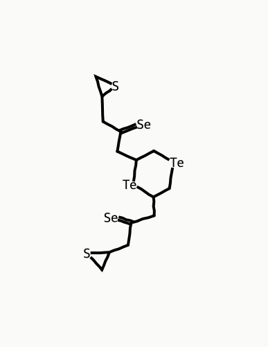 [Se]=C(CC1CS1)CC1C[Te]CC(CC(=[Se])CC2CS2)[Te]1